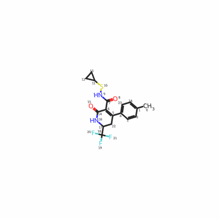 Cc1ccc(C2=C(C(=O)NSC3CC3)C(=O)NC(C(F)(F)F)C2)cc1